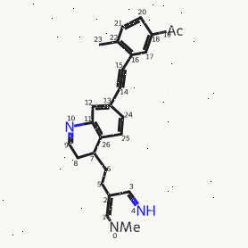 CN/C=C(\C=N)CCC1CC=Nc2cc(C#Cc3cc(C(C)=O)ccc3C)ccc21